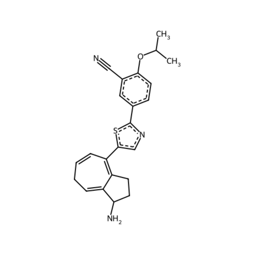 CC(C)Oc1ccc(-c2ncc(C3=C4CCC(N)C4=CCC=C3)s2)cc1C#N